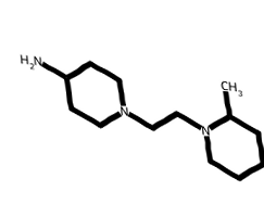 CC1CCCCN1CCN1CCC(N)CC1